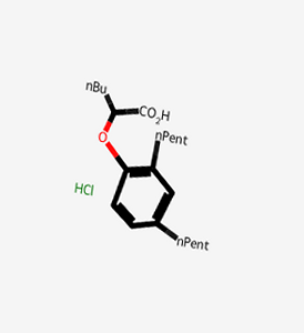 CCCCCc1ccc(OC(CCCC)C(=O)O)c(CCCCC)c1.Cl